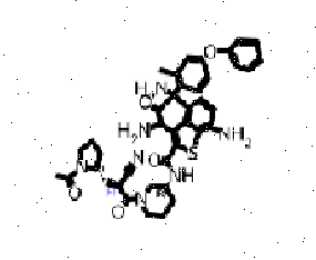 CC(=O)N1CCC[C@@H]1/C=C(\C#N)C(=O)N1CCC[C@@H](NC(=O)c2sc3c(N)ccc4c3c2C(N)C(=O)C4(N)c2ccc(Oc3ccccc3)cc2C)C1